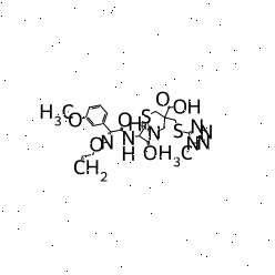 C=CCON=C(C(=O)NC1C(=O)N2CC(CSc3nnnn3C)(C(=O)O)CS[C@H]12)c1cccc(OC)c1